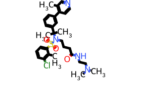 Cc1cnccc1-c1cccc(C(C)(C)N(CCCC(=O)NCCN(C)C)S(=O)(=O)c2cccc(Cl)c2C)c1